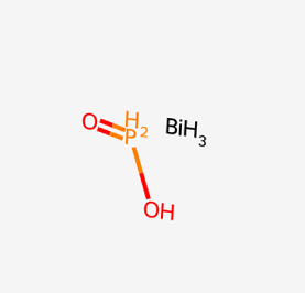 O=[PH2]O.[BiH3]